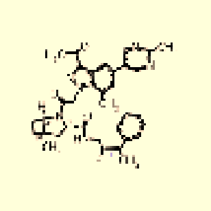 CC(=O)c1nn(CC(=O)N2[C@H](C(=O)NC/C(F)=C(/C)c3ccccc3)C[C@@]3(C)CC[C@@H]23)c2c(C)cc(-c3cnc(C)nc3)cc12